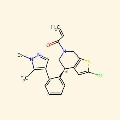 C=CC(=O)N1Cc2sc(Cl)cc2[C@@H](c2ccccc2-c2cnn(CC)c2C(F)(F)F)C1